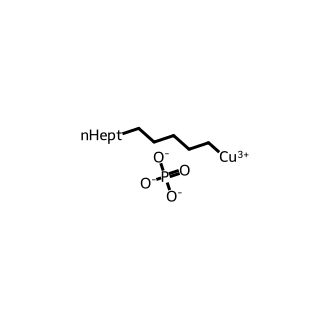 CCCCCCCCCCC[CH2][Cu+3].O=P([O-])([O-])[O-]